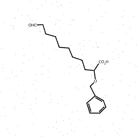 O=CCCCCCCCCC(OCc1ccccc1)C(=O)O